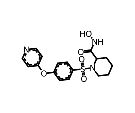 O=C(NO)C1CCCCN1S(=O)(=O)c1ccc(Oc2ccncc2)cc1